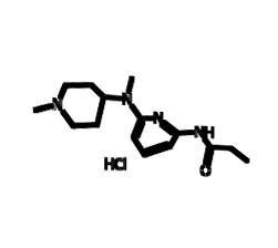 CCC(=O)Nc1cccc(N(C)C2CCN(C)CC2)n1.Cl